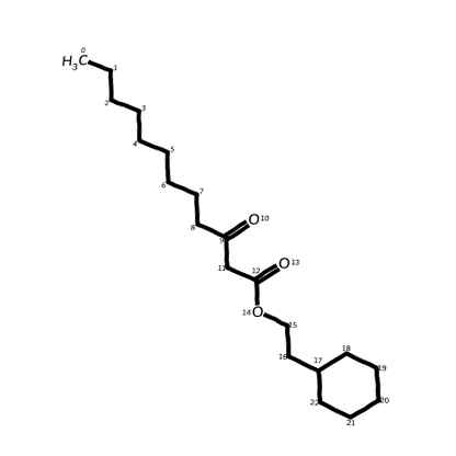 CCCCCCCCCC(=O)CC(=O)OCCC1CCCCC1